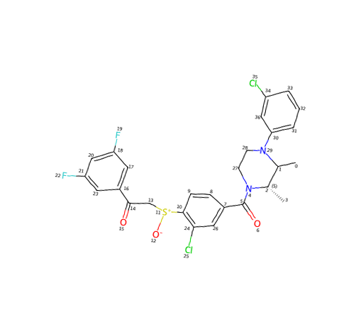 CC1[C@H](C)N(C(=O)c2ccc([S+]([O-])CC(=O)c3cc(F)cc(F)c3)c(Cl)c2)CCN1c1cccc(Cl)c1